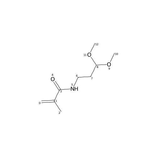 C=C(C)C(=O)NCCC(OC)OC